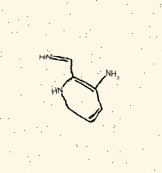 N=CC1=C(N)C=CCN1